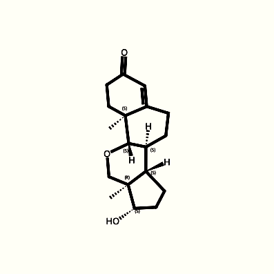 C[C@]12CO[C@H]3[C@@H](CCC4=CC(=O)CC[C@@]43C)[C@@H]1CC[C@@H]2O